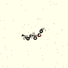 O=C(NC1CC1)c1cccc(-c2cnc(N[C@@H]3CCCC[C@H]3N[C@H]3CCCN(c4ccc(C(F)(F)F)cc4)C3)o2)c1